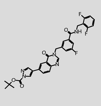 CC(C)(C)OC(=O)n1cc(-c2ccc3ncn(Cc4cc(F)cc(C(=O)NCc5c(F)cccc5F)c4)c(=O)c3c2)cn1